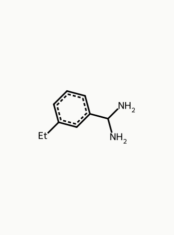 CCc1cccc(C(N)N)c1